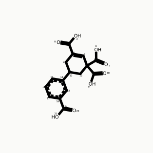 O=C(O)C1=CC(C(=O)O)(C(=O)O)CC(c2cccc(C(=O)O)c2)C1